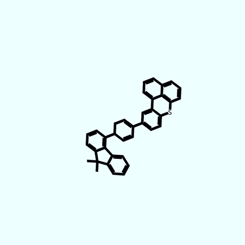 CC1(C)c2ccccc2-c2c(C3C=CC(c4ccc5c(c4)-c4cccc6cccc(c46)S5)=CC3)cccc21